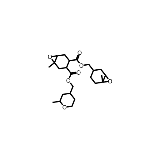 CC1CC(COC(=O)C2CC3(C)OC3CC2C(=O)OCC2CCC3(C)OC3C2)CCO1